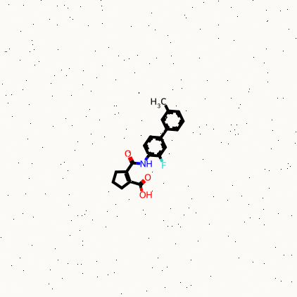 Cc1cccc(-c2ccc(NC(=O)C3=C(C(=O)O)CCC3)c(F)c2)c1